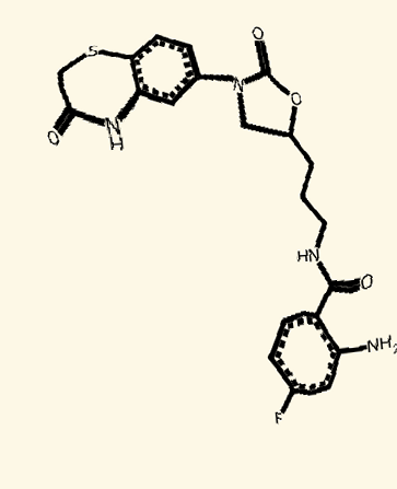 Nc1cc(F)ccc1C(=O)NCCCC1CN(c2ccc3c(c2)NC(=O)CS3)C(=O)O1